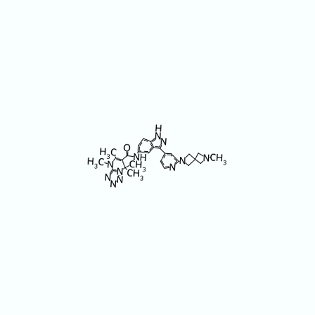 CC1=C(C(=O)Nc2ccc3[nH]nc(-c4ccnc(N5CC6(CN(C)C6)C5)c4)c3c2)C(C)(C)n2nnnc2N1C